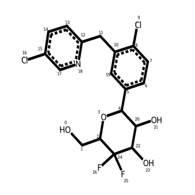 OCC1OC(c2ccc(Cl)c(Cc3ccc(Cl)cn3)c2)C(O)C(O)C1(F)F